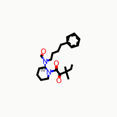 CCC(C)(C)C(=O)C(=O)N1CCCC[C@H]1N(C=O)CCCCc1ccccc1